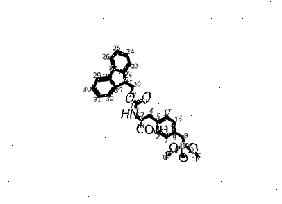 O=C(N[C@@H](Cc1ccc(CP(=O)(OF)OF)cc1)C(=O)O)OCC1c2ccccc2-c2ccccc21